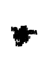 Oc1ccc2c(-c3c(F)c(F)c(F)c(F)c3F)c(OB(Oc3ccc4cc(O)ccc4c3-c3c(F)c(F)c(F)c(F)c3F)Oc3ccc4cc(O)ccc4c3-c3c(F)c(F)c(F)c(F)c3F)ccc2c1